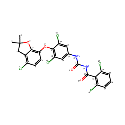 CC1(C)Cc2c(Cl)ccc(Oc3c(Cl)cc(NC(=O)NC(=O)c4c(F)cccc4Cl)cc3Cl)c2O1